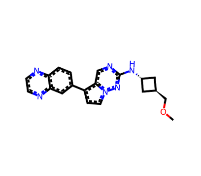 COC[C@H]1C[C@H](Nc2ncc3c(-c4ccc5nccnc5c4)ccn3n2)C1